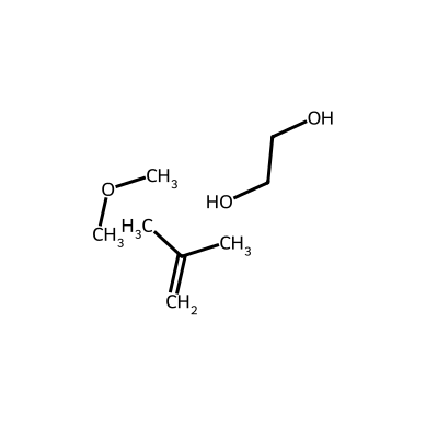 C=C(C)C.COC.OCCO